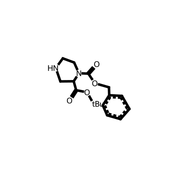 CC(C)(C)OC(=O)C1CNCCN1C(=O)OCc1ccccc1